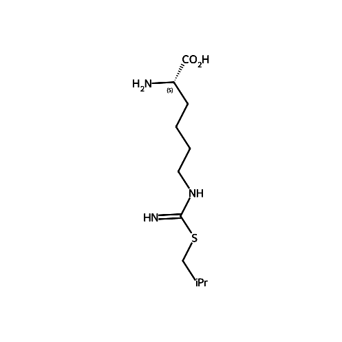 CC(C)CSC(=N)NCCCC[C@H](N)C(=O)O